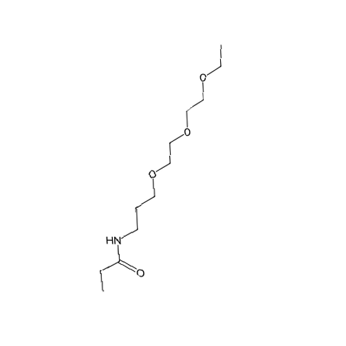 CCOCCOCCOCCCNC(=O)CC